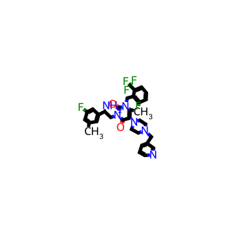 Cc1cc(F)cc([C@@H](N)Cn2c(=O)c(N3CCN(Cc4cccnc4)CC3)c(C)n(Cc3c(F)cccc3C(F)(F)F)c2=O)c1